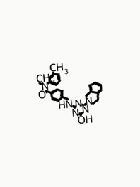 CCN(C(=O)c1ccc(CNc2nc(O)nc(N3CCc4ccccc4C3)n2)cc1)c1cccc(C)c1